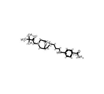 CC(C)(C)C(=O)CN1CC2CN(CCCNc3ccc(C(N)=O)cc3)CC(C1)O2